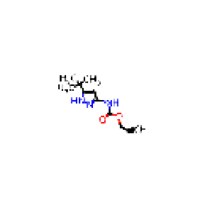 C#CCOC(=O)Nc1cc(C(C)(C)C)[nH]n1